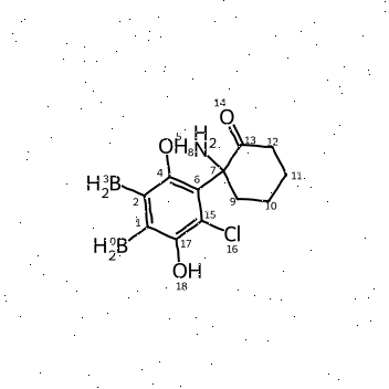 Bc1c(B)c(O)c(C2(N)CCCCC2=O)c(Cl)c1O